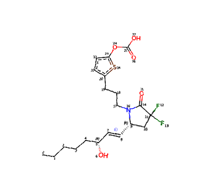 CCCCC[C@@H](O)/C=C/[C@H]1CC(F)(F)C(=O)N1CCCc1ccc(OC(=O)O)s1